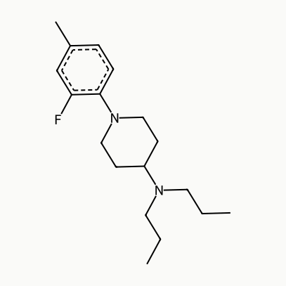 CCCN(CCC)C1CCN(c2ccc(C)cc2F)CC1